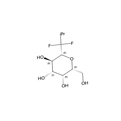 CC(C)C(F)(F)[C@@H]1O[C@H](CO)[C@H](O)[C@H](O)[C@H]1O